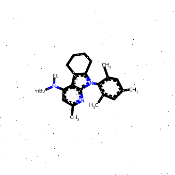 CCCCN(CC)c1cc(C)nc2c1c1c(n2-c2c(C)cc(C)cc2C)CCCC1